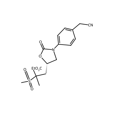 CCOC(=O)C(C)(C[C@H]1CN(c2ccc(CC#N)cc2)C(=O)O1)S(C)(=O)=O